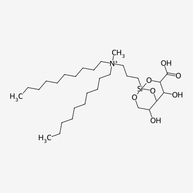 CCCCCCCCCC[N+](C)(CCCCCCCCCC)CCC[Si]12OCC(O)C(O1)C(O)C(C(=O)O)O2